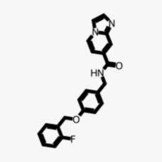 O=C(NCc1ccc(OCc2ccccc2F)cc1)c1ccn2ccnc2c1